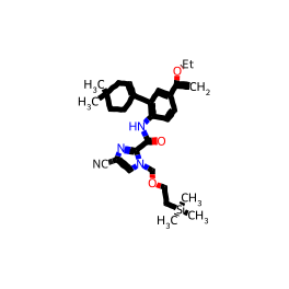 C=C(OCC)c1ccc(NC(=O)c2nc(C#N)cn2COCC[Si](C)(C)C)c(C2=CCC(C)(C)CC2)c1